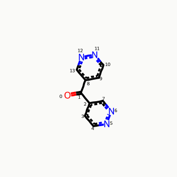 O=C(c1ccnnc1)c1ccnnc1